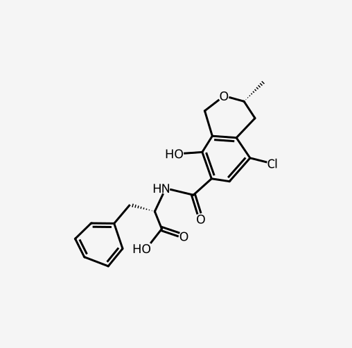 C[C@@H]1Cc2c(Cl)cc(C(=O)N[C@@H](Cc3ccccc3)C(=O)O)c(O)c2CO1